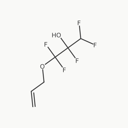 C=CCOC(F)(F)C(O)(F)C(F)F